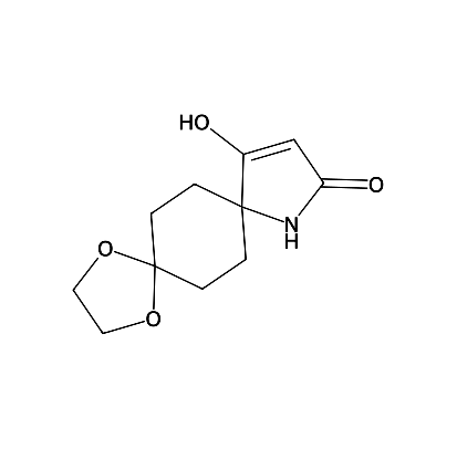 O=C1C=C(O)C2(CCC3(CC2)OCCO3)N1